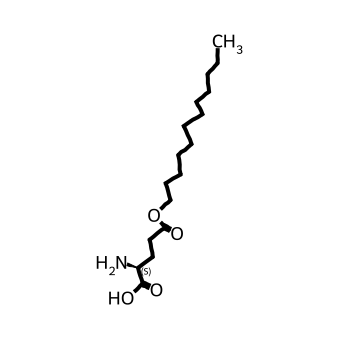 CCCCCCCCCCCCOC(=O)CC[C@H](N)C(=O)O